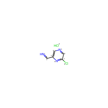 Cl.N=Cc1cncc(Cl)n1